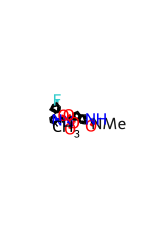 CNC(=O)Nc1ccc2c(c1)CCC21OC(=O)N(CC(=O)N2[C@@H](C)CC[C@H]2c2ccc(F)cc2)C1=O